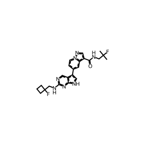 CC(C)(F)CNC(=O)c1cnn2ccc(-c3c[nH]c4nc(NCC5(F)CCC5)ncc34)cc12